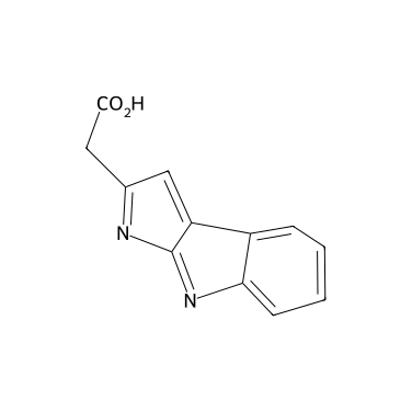 O=C(O)CC1=NC2=Nc3ccccc3C2=C1